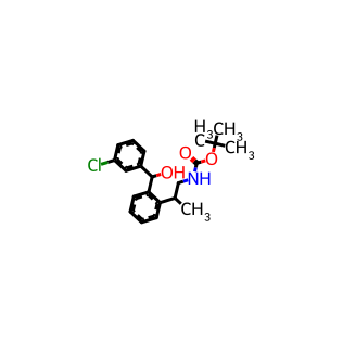 CC(CNC(=O)OC(C)(C)C)c1ccccc1C(O)c1cccc(Cl)c1